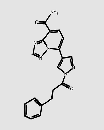 NC(=O)c1ccc(-c2cnn(C(=O)CCc3ccccc3)c2)n2n[c]nc12